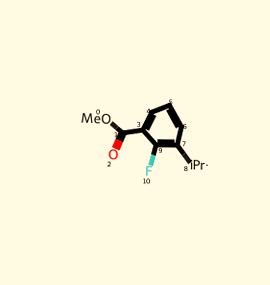 COC(=O)c1cccc([C](C)C)c1F